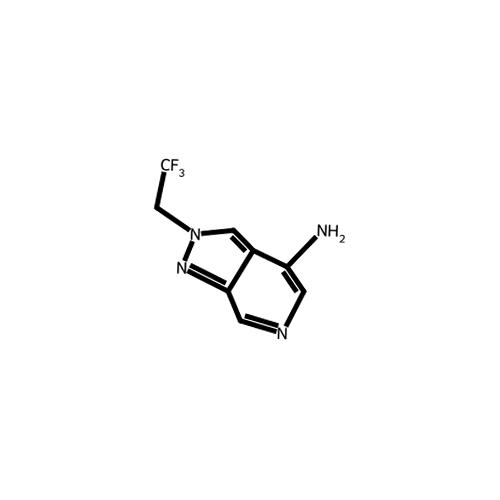 Nc1cncc2nn(CC(F)(F)F)cc12